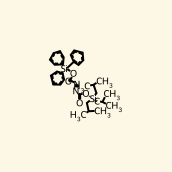 CC(C)C[Si](CC(C)C)(CC(C)C)OC(=O)/N=N/C(=O)O[Si](c1ccccc1)(c1ccccc1)c1ccccc1